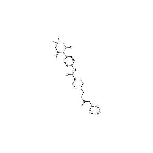 CN(CCC1CCN(C(=O)Oc2ccc(N3C(=O)CC(C)(C)CC3=O)cn2)CC1)Cc1ccccc1